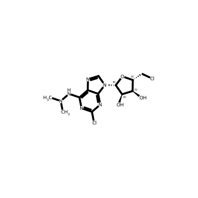 CN(C)Nc1nc(Cl)nc2c1ncn2[C@@H]1O[C@H](CCl)[C@@H](O)[C@H]1O